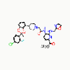 COC(=O)c1ccc(NC(=O)CN2CCC(c3cccc4c3OC(C)(c3ccc(Cl)cc3F)O4)CC2)c(NCc2ncco2)n1